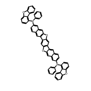 c1ccc(N(c2ccc3cc4c(cc3c2)oc2cc3c(cc24)oc2cc4cc(N(c5ccccc5)c5cccc6oc7ccccc7c56)ccc4cc23)c2cccc3oc4ccccc4c23)cc1